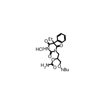 CCCCOCC(CN1C(=O)NC(=O)C(CC)(c2ccccc2)C1=O)OC(N)=O.Cl